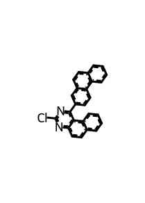 Clc1nc(-c2ccc3c(ccc4ccccc43)c2)c2c(ccc3ccccc32)n1